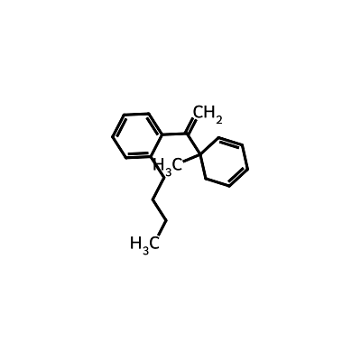 C=C(c1ccccc1CCCC)C1(C)C=CC=CC1